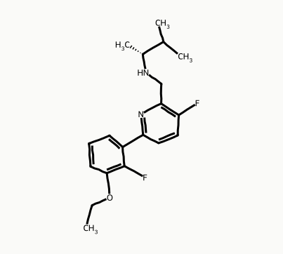 CCOc1cccc(-c2ccc(F)c(CN[C@H](C)C(C)C)n2)c1F